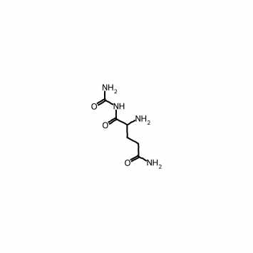 NC(=O)CCC(N)C(=O)NC(N)=O